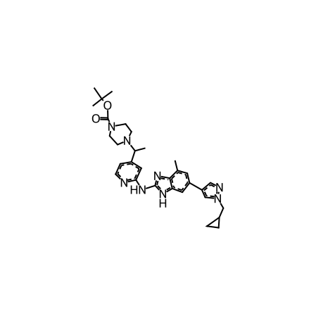 Cc1cc(-c2cnn(CC3CC3)c2)cc2[nH]c(Nc3cc(C(C)N4CCN(C(=O)OC(C)(C)C)CC4)ccn3)nc12